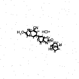 Cc1cn2cc(-c3cc4sc(O[C@@H]5C[C@H]6CC[C@@H](C5)N6)nc4cn3)cc(C#N)c2n1.Cl